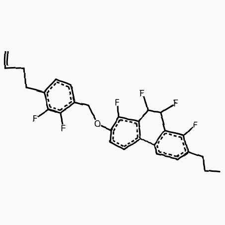 C=CCCc1ccc(COc2ccc3c(c2F)C(F)C(F)c2c-3ccc(CCC)c2F)c(F)c1F